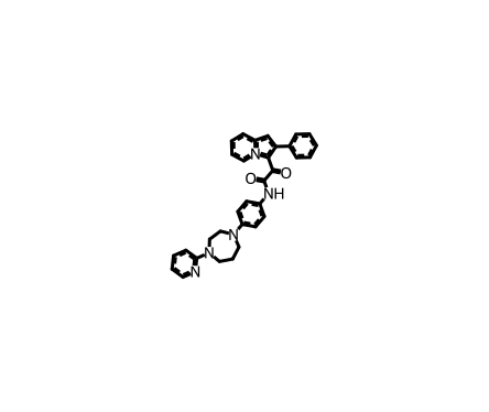 O=C(Nc1ccc(N2CCCN(c3ccccn3)CC2)cc1)C(=O)c1c(-c2ccccc2)cc2ccccn12